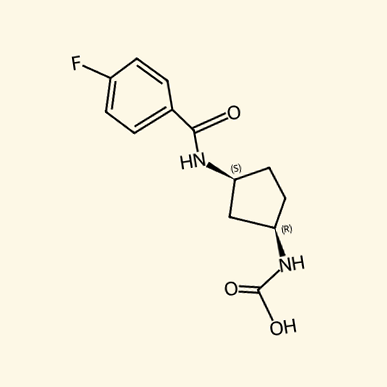 O=C(O)N[C@@H]1CC[C@H](NC(=O)c2ccc(F)cc2)C1